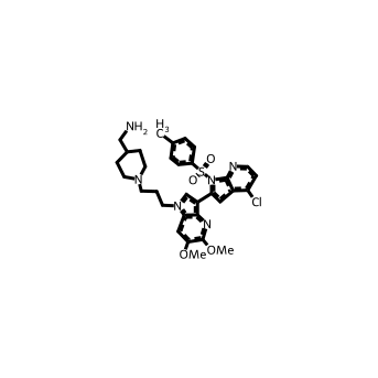 COc1cc2c(nc1OC)c(-c1cc3c(Cl)ccnc3n1S(=O)(=O)c1ccc(C)cc1)cn2CCCN1CCC(CN)CC1